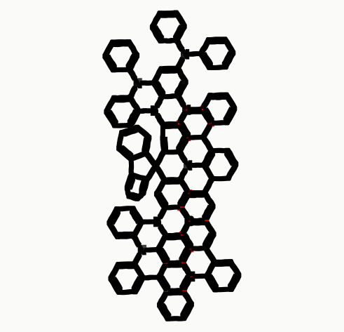 C1=CCC(C2=C(N3c4cc5c(cc4C4(c6ccccc6-c6ccccc64)c4cc6c(cc43)N(c3ccccc3)c3cc(N(c4ccccc4)c4ccccc4)cc4c3B6c3ccccc3N4c3ccccc3)B3c4ccccc4N(c4ccccc4-c4ccccc4)c4cc(N(c6ccccc6)c6ccccc6-c6ccccc6)cc(c43)O5)C(C3=CCCC=C3)CC=C2)C=C1